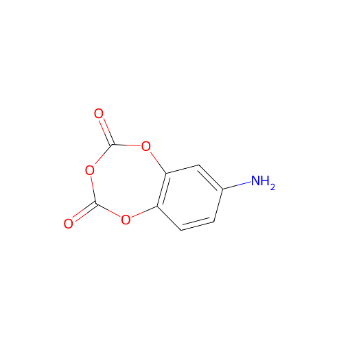 Nc1ccc2c(c1)OC(=O)OC(=O)O2